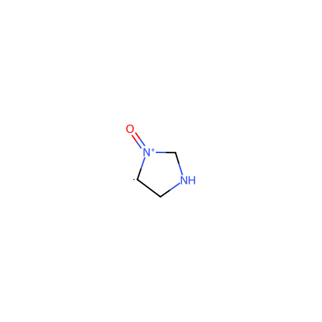 O=[N+]1[CH]CNC1